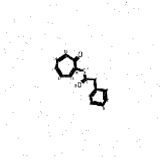 O=C(Cc1ccccc1)Sc1cccccc1=O